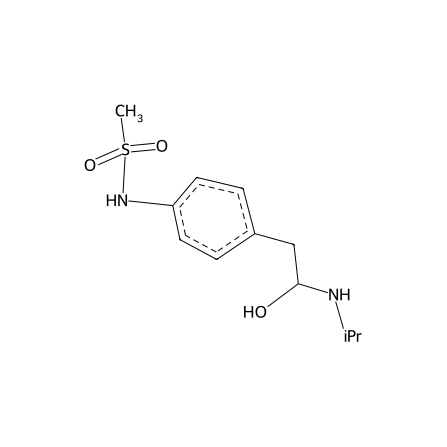 CC(C)NC(O)Cc1ccc(NS(C)(=O)=O)cc1